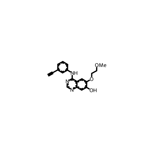 C#Cc1cccc(Nc2ncnc3cc(O)c(OCCOC)cc23)c1